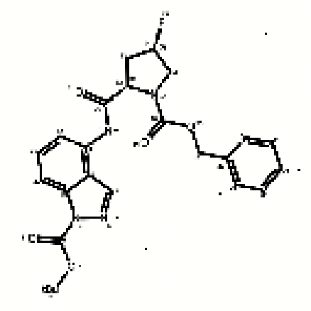 CC(C)(C)OC(=O)n1ncc2c(NC(=O)[C@H]3C[C@@H](F)CN3C(=O)OCc3ccccc3)cccc21